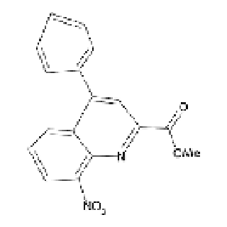 COC(=O)c1cc(-c2ccccc2)c2cccc([N+](=O)[O-])c2n1